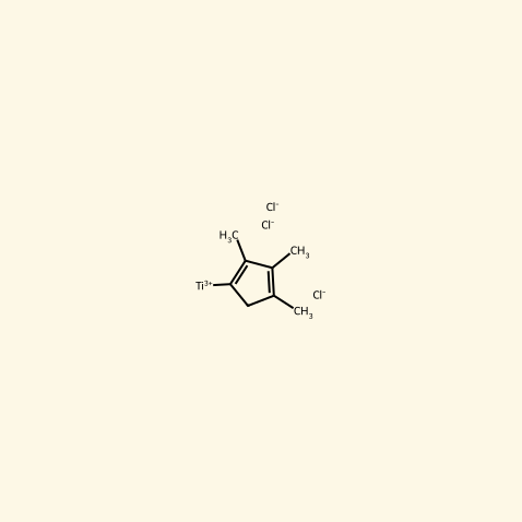 CC1=C(C)C(C)=[C]([Ti+3])C1.[Cl-].[Cl-].[Cl-]